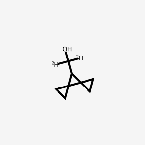 [2H]C([2H])(O)C1C2(CC2)C12CC2